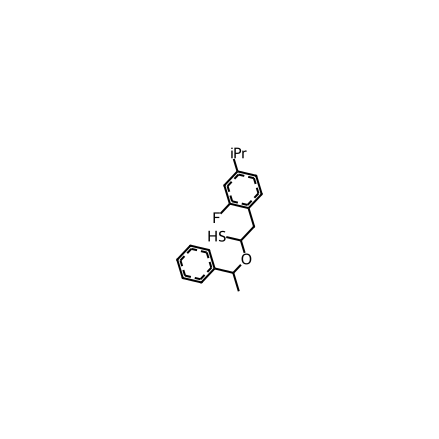 CC(C)c1ccc(CC(S)OC(C)c2ccccc2)c(F)c1